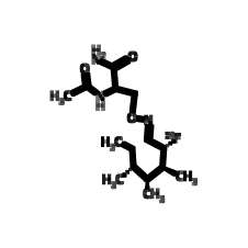 CC[C@@H](C)[C@@H](C)[C@H](C)[C@@H]([18F])/C=N/OCC(NC(C)=O)C(N)=O